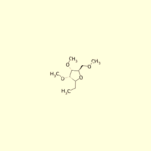 CCC1O[C@H](COC)[C@@H](OC)[C@H]1OC